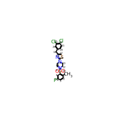 Cc1ccc(F)cc1S(=O)(=O)N1CCN(c2nc(Cc3ccc(Cl)c(Cl)c3)cs2)CC1